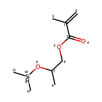 C=C(C)C(=O)OCC(C)O[SiH](C)C